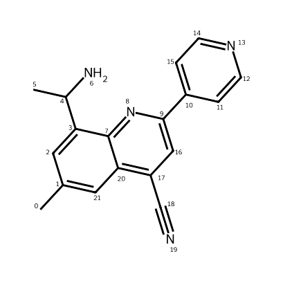 Cc1cc(C(C)N)c2nc(-c3ccncc3)cc(C#N)c2c1